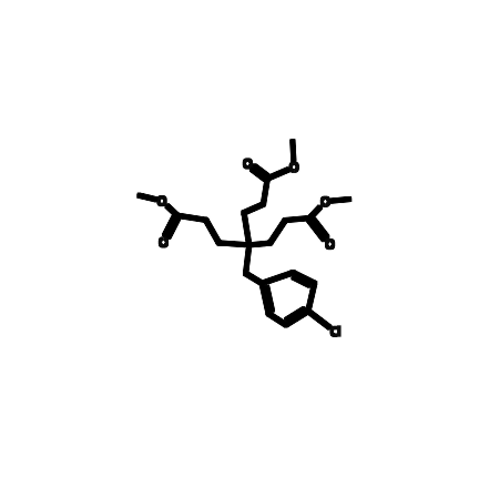 COC(=O)CCC(CCC(=O)OC)(CCC(=O)OC)Cc1ccc(Cl)cc1